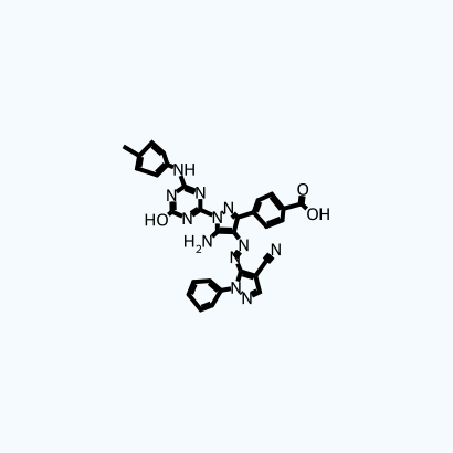 Cc1ccc(Nc2nc(O)nc(-n3nc(-c4ccc(C(=O)O)cc4)c(/N=N/c4c(C#N)cnn4-c4ccccc4)c3N)n2)cc1